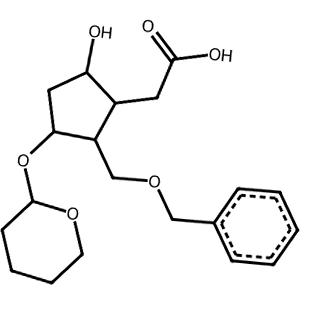 O=C(O)CC1C(O)CC(OC2CCCCO2)C1COCc1ccccc1